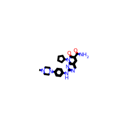 CN1CCN(c2ccc(Nc3ncc4cc(C(N)=O)c(=O)n(C5CCCC5)c4n3)cc2)CC1